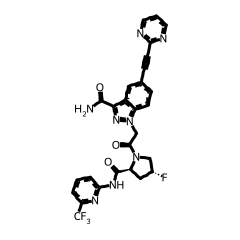 NC(=O)c1nn(CC(=O)N2C[C@H](F)C[C@H]2C(=O)Nc2cccc(C(F)(F)F)n2)c2ccc(C#Cc3ncccn3)cc12